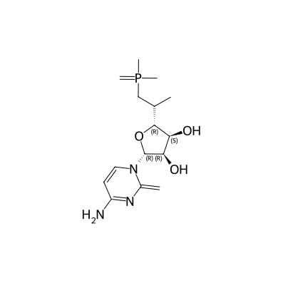 C=C1N=C(N)C=CN1[C@@H]1O[C@H](C(C)CP(=C)(C)C)[C@@H](O)[C@H]1O